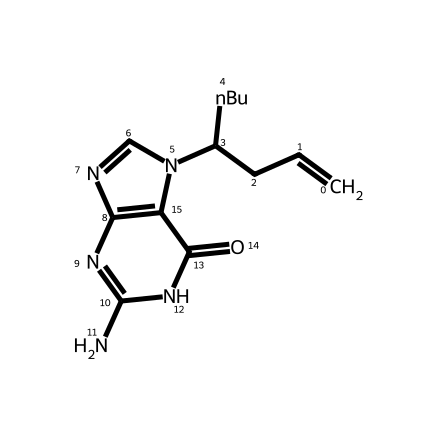 C=CCC(CCCC)n1cnc2nc(N)[nH]c(=O)c21